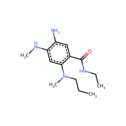 CCCN(C)c1cc(NC)c(N)cc1C(=O)NCC